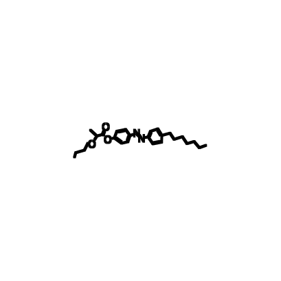 CCCCCCCc1ccc(/N=N/c2ccc(OC(=O)C(C)OCCCC)cc2)cc1